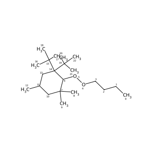 CCCCOOC1C(C)(C)CC(C)CC1(C(C)(C)C)C(C)(C)C